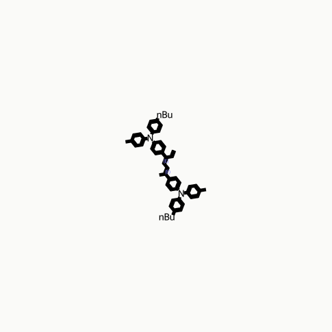 C=C/C(=C\C=C(/C)c1ccc(N(c2ccc(C)cc2)c2ccc(CCCC)cc2)cc1)c1ccc(N(c2ccc(C)cc2)c2ccc(CCCC)cc2)cc1